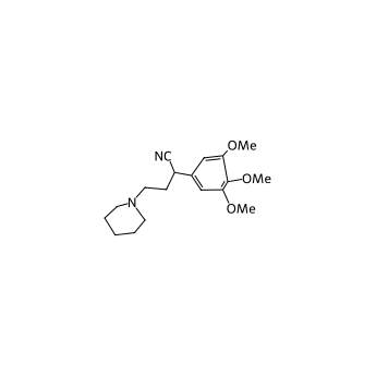 COc1cc(C(C#N)CCN2CCCCC2)cc(OC)c1OC